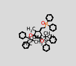 C=C1C(=CCP(=O)(c2ccccc2)c2ccccc2)C[C@@H](O[Si](c2ccccc2)(c2ccccc2)C(C)(C)C)C[C@H]1O[Si](c1ccccc1)(c1ccccc1)C(C)(C)C